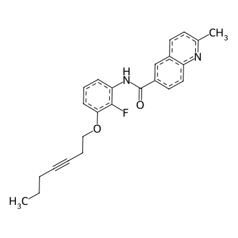 CCCC#CCCOc1cccc(NC(=O)c2ccc3nc(C)ccc3c2)c1F